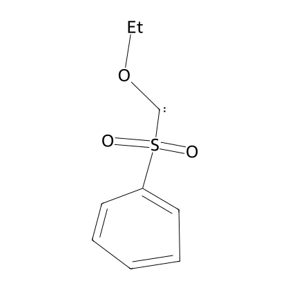 CCO[C]S(=O)(=O)c1ccccc1